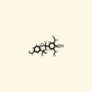 CCc1ccc2c(c1)C(C)(C)CC(C)(c1cc(CC)c(O)c(CC)c1)O2